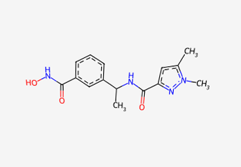 Cc1cc(C(=O)NC(C)c2cccc(C(=O)NO)c2)nn1C